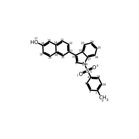 Cc1ccc(S(=O)(=O)n2cc(-c3ccc4cc(O)ccc4c3)c3ccccc32)cc1